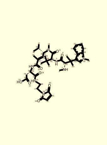 CN[C@H](C(=O)N[C@H](C(=O)N(C)[C@H](/C=C(\C)C(=O)N[C@@H](CC(=O)O)C(=O)NCCN1C(=O)C=CC1=O)C(C)C)C(C)(C)C)C(C)(C)c1cn(C)c2ccccc12